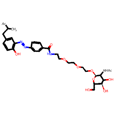 CC(=O)NC1C(O)[C@@H](O)C(CO)O[C@H]1OCCOCCOCCNC(=O)c1ccc(/N=N/c2cc(CC(C)C(C)=O)ccc2O)cc1